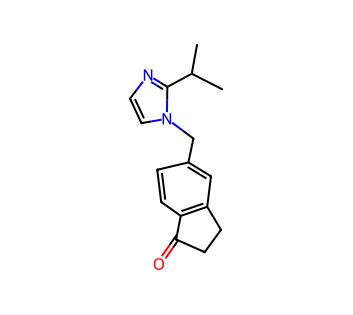 CC(C)c1nccn1Cc1ccc2c(c1)CCC2=O